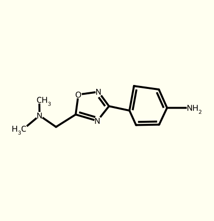 CN(C)Cc1nc(-c2ccc(N)cc2)no1